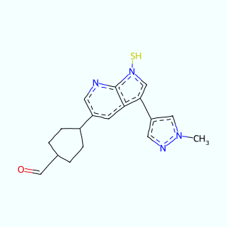 Cn1cc(-c2cn(S)c3ncc(C4CCC(C=O)CC4)cc23)cn1